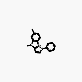 Cc1ccc2c(c1)N(C)C1=[Te]2N(c2ccccc2)C=C1